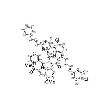 COC(=O)c1cc2c(OC)ccc(N3C[C@@H](C)n4c(c(CCCOc5cc(C)c(Cl)c(C)c5)c5ccc(Cl)c(-c6c(C)nc(COCc7ccccc7)nc6C)c54)C3=O)c2n1Cc1ccccn1